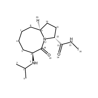 CC(C)N[C@H]1CCCC[C@H]2CC[C@H](C(=O)NI)N2C1=O